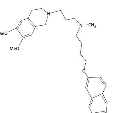 COc1cc2c(cc1OC)CN(CCCN(C)CCCCOc1ccc3ccccc3c1)CC2